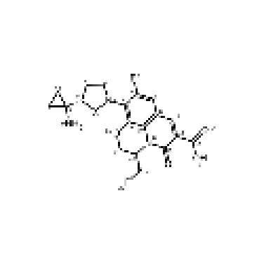 NC1([C@@H]2CCN(c3c(F)cc4cc(C(=O)O)c(=O)n5c4c3OC[C@@H]5CF)C2)CC1